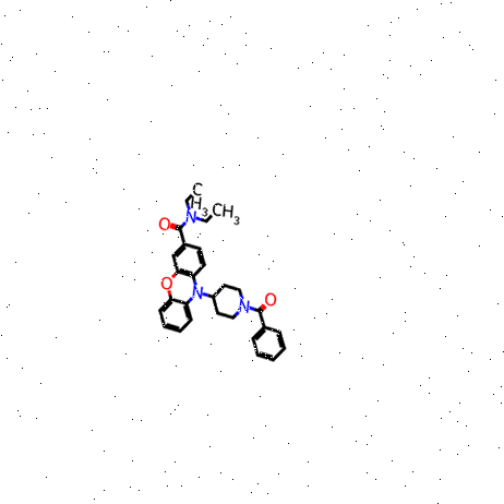 CCN(CC)C(=O)c1ccc2c(c1)Oc1ccccc1N2C1CCN(C(=O)c2ccccc2)CC1